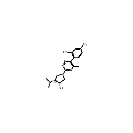 Cc1nc(N2C[C@H](O)[C@@H](N(C)C)C2)nnc1-c1ccc(C(F)(F)F)cc1O